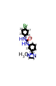 CN1CCN=C1c1cccc(NC(=O)Nc2ccc(Br)cc2)c1